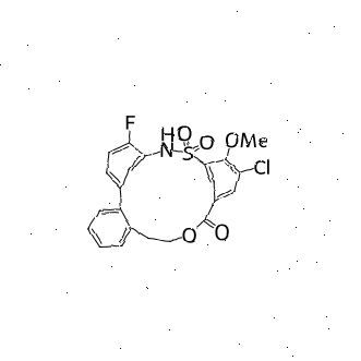 COc1c(Cl)cc2cc1S(=O)(=O)Nc1cc(ccc1F)-c1ccccc1CCOC2=O